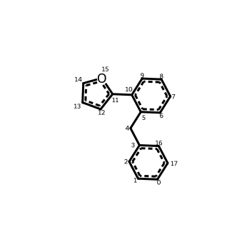 c1ccc(Cc2ccccc2-c2ccco2)cc1